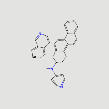 CN(c1ccncc1)C1CCc2c(ccc3c2ccc2ccccc23)C1.c1ccc2cnccc2c1